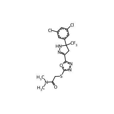 CN(C)C(=O)CSc1nnc(C2=NNC(c3cc(Cl)cc(Cl)c3)(C(F)(F)F)C2)o1